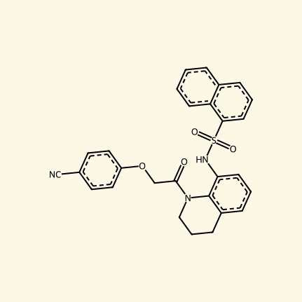 N#Cc1ccc(OCC(=O)N2CCCc3cccc(NS(=O)(=O)c4cccc5ccccc45)c32)cc1